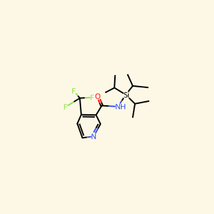 CC(C)[Si](NC(=O)c1cnccc1C(F)(F)F)(C(C)C)C(C)C